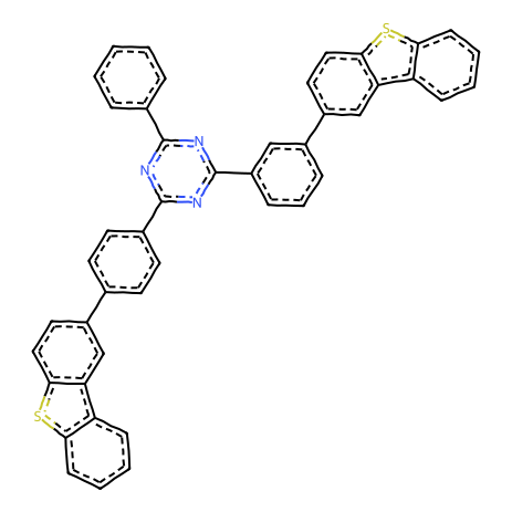 c1ccc(-c2nc(-c3ccc(-c4ccc5sc6ccccc6c5c4)cc3)nc(-c3cccc(-c4ccc5sc6ccccc6c5c4)c3)n2)cc1